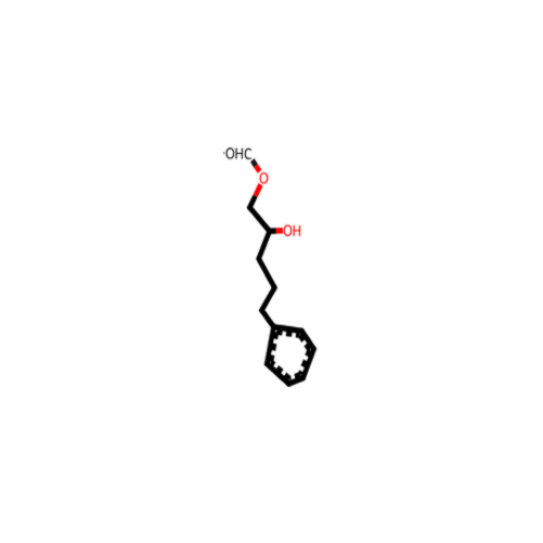 O=[C]OCC(O)CCCc1ccccc1